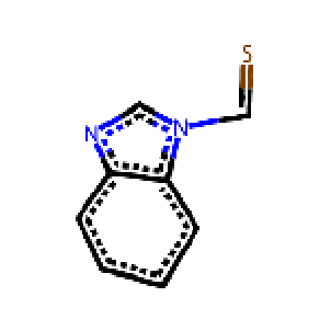 S=Cn1cnc2ccccc21